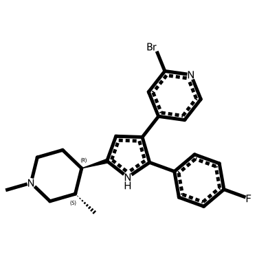 C[C@@H]1CN(C)CC[C@H]1c1cc(-c2ccnc(Br)c2)c(-c2ccc(F)cc2)[nH]1